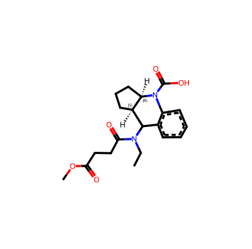 CCN(C(=O)CCC(=O)OC)C1c2ccccc2N(C(=O)O)[C@@H]2CCC[C@H]12